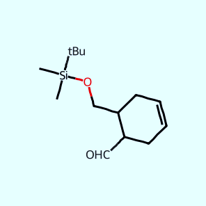 CC(C)(C)[Si](C)(C)OCC1CC=CCC1C=O